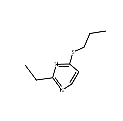 CCCSc1ccnc(CC)n1